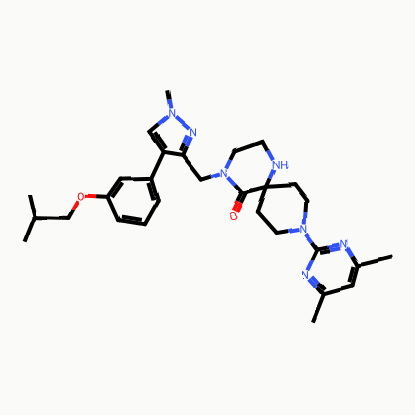 Cc1cc(C)nc(N2CCC3(CC2)NCCN(Cc2nn(C)cc2-c2cccc(OCC(C)C)c2)C3=O)n1